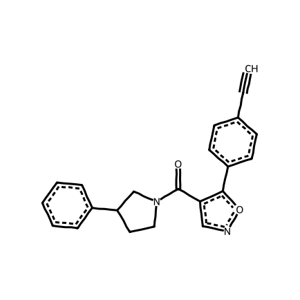 C#Cc1ccc(-c2oncc2C(=O)N2CCC(c3ccccc3)C2)cc1